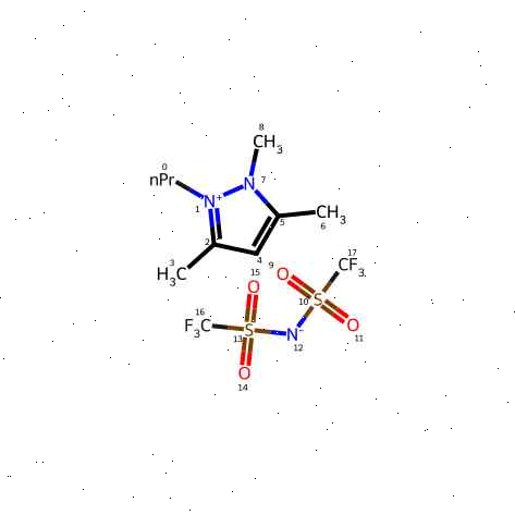 CCC[n+]1c(C)cc(C)n1C.O=S(=O)([N-]S(=O)(=O)C(F)(F)F)C(F)(F)F